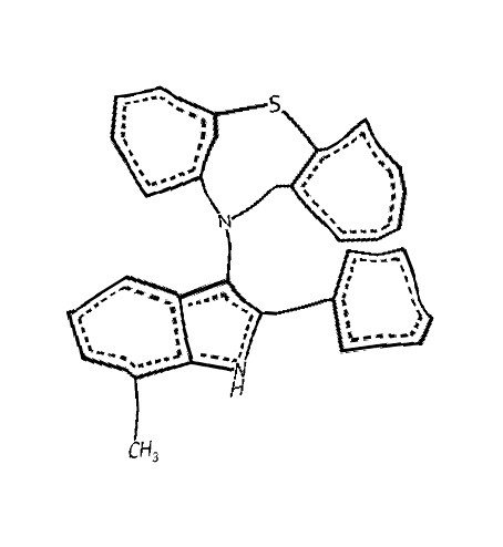 Cc1cccc2c(N3c4ccccc4Sc4ccccc43)c(-c3ccccc3)[nH]c12